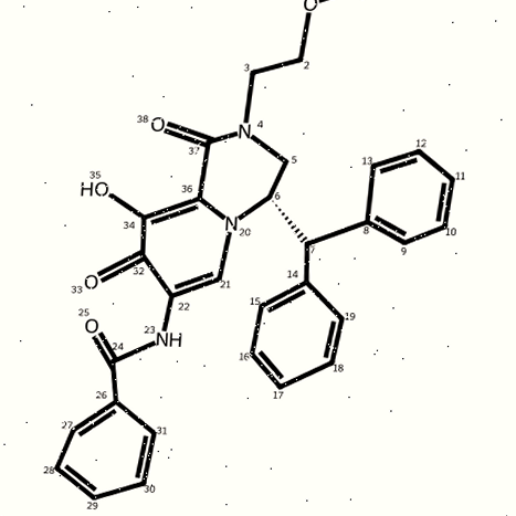 COCCN1C[C@H](C(c2ccccc2)c2ccccc2)n2cc(NC(=O)c3ccccc3)c(=O)c(O)c2C1=O